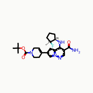 CC(C)(C)OC(=O)N1CC=C(c2cc3c(N[C@@H]4CCC[C@]4(C)F)c(C(N)=O)cnn3c2)CC1